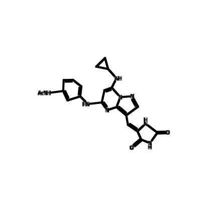 CC(=O)Nc1cccc(Nc2cc(NC3CC3)n3ncc(/C=C4\NC(=O)NC4=O)c3n2)c1